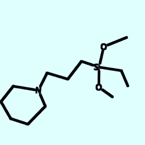 CC[Si](CCCN1CCCCC1)(OC)OC